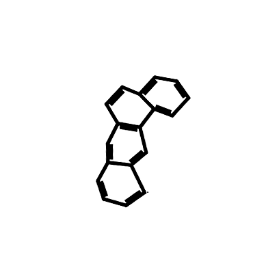 [c]1cccc2cc3ccc4ccccc4c3cc12